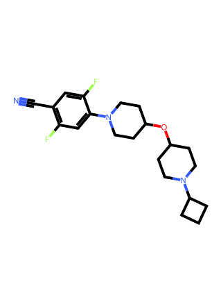 N#Cc1cc(F)c(N2CCC(OC3CCN(C4CCC4)CC3)CC2)cc1F